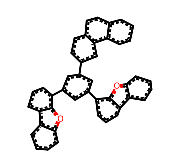 c1ccc2c(c1)ccc1ccc(-c3cc(-c4cccc5c4oc4ccccc45)cc(-c4cccc5c4oc4ccccc45)c3)cc12